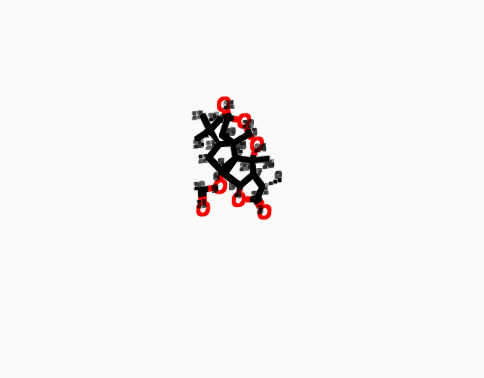 C[C@@H]1C(=O)OC2CC34C(OC=O)C[C@@H](C(C)(C)C)C35CC(=O)OC5OC4(C)C21